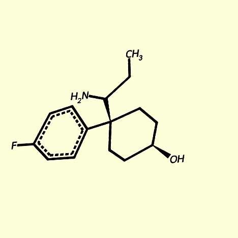 CCC(N)[C@]1(c2ccc(F)cc2)CC[C@H](O)CC1